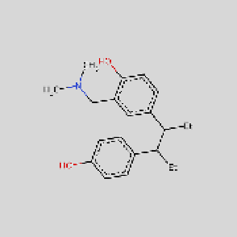 CCC(c1ccc(O)cc1)C(CC)c1ccc(O)c(CN(C)C)c1